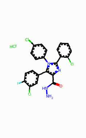 Cl.NNC(=O)c1nc(-c2ccccc2Cl)n(-c2ccc(Cl)cc2)c1-c1ccc(F)c(Cl)c1